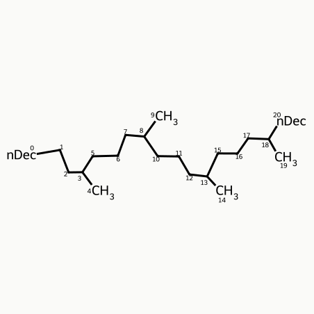 CCCCCCCCCCCCC(C)CCCC(C)CCCC(C)CCCC(C)CCCCCCCCCC